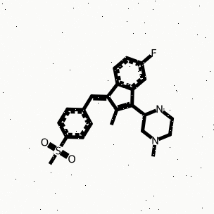 CC1=C(C2CN(C)CC[N]2)c2cc(F)ccc2C1=Cc1ccc(S(C)(=O)=O)cc1